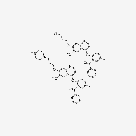 COc1cc2c(Oc3ccc(C)cc3C(=O)c3ccccc3)ccnc2cc1OCCCCl.COc1cc2c(Oc3ccc(C)cc3C(=O)c3ccccc3)ccnc2cc1OCCCN1CCN(C)CC1